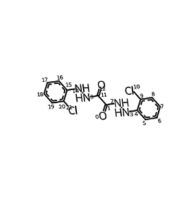 O=C(NNc1ccccc1Cl)C(=O)NNc1ccccc1Cl